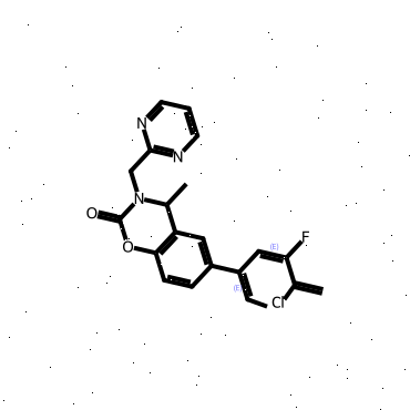 C=C(Cl)/C(F)=C\C(=C/C)c1ccc2c(c1)C(C)N(Cc1ncccn1)C(=O)O2